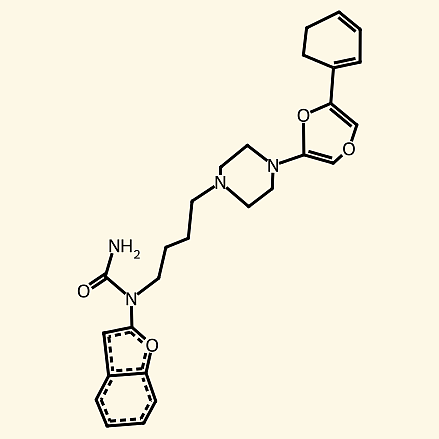 NC(=O)N(CCCCN1CCN(C2=COC=C(C3=CC=CCC3)O2)CC1)c1cc2ccccc2o1